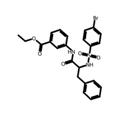 CCOC(=O)c1cccc(NC(=O)C(Cc2ccccc2)NS(=O)(=O)c2ccc(Br)cc2)c1